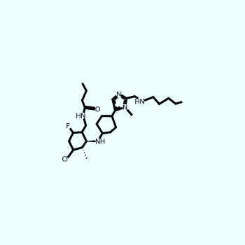 CCCCCNCc1ncc(C2CCC(N[C@@H]3C(CNC(=O)CCC)C(F)CC(Cl)[C@H]3C)CC2)n1C